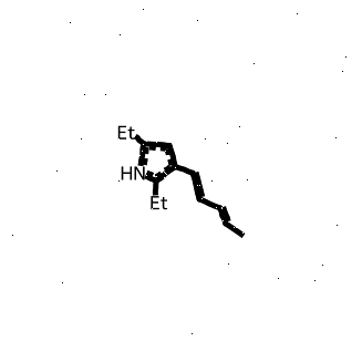 CC=CC=Cc1cc(CC)[nH]c1CC